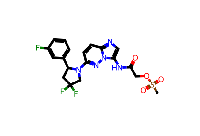 CS(=O)(=O)OCC(=O)Nc1cnc2ccc(N3CC(F)(F)CC3c3cccc(F)c3)nn12